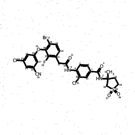 CC1(NC(=O)c2ccc(NC(=O)Cc3ccc(Br)c(Oc4cc(Cl)cc(C#N)c4)c3F)c(Cl)c2)CCS(=O)(=O)C1